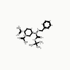 CC(C)(C)OC(=O)N(OCc1ccccc1)[C@@H]1CC[C@@H](C(=O)O)N(C(=O)O)C1